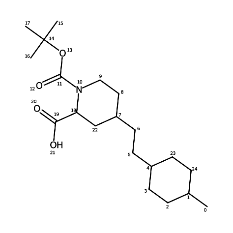 CC1CCC(CCC2CCN(C(=O)OC(C)(C)C)C(C(=O)O)C2)CC1